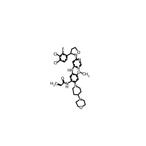 C=CC(=O)Nc1cc(Nc2cc(N3OCCC3c3ccc(Cl)c(Cl)c3F)ncn2)c(OC)cc1N1CCC(N2CCOCC2)CC1